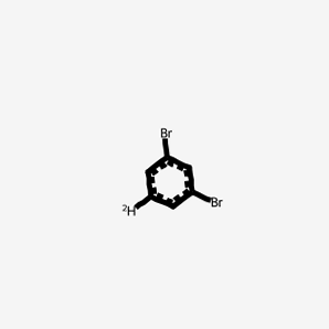 [2H]c1cc(Br)cc(Br)c1